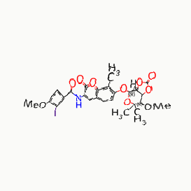 COc1ccc(C(=O)Nc2cc3ccc(O[C@@H]4OC(C)(C)[C@H](OC)C5OC(=O)O[C@@H]54)c(C)c3oc2=O)cc1I